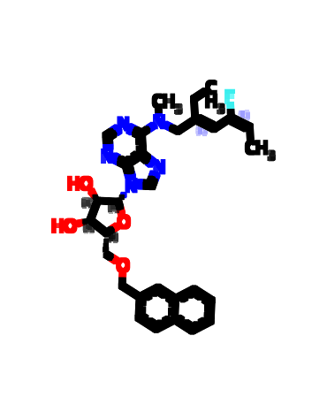 C/C=C(F)\C=C(/CC)CN(C)c1ncnc2c1ncn2[C@@H]1O[C@H](COCc2ccc3ccccc3c2)[C@@H](O)[C@H]1O